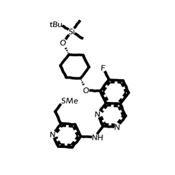 CSCc1cc(Nc2ncc3ccc(F)c(O[C@H]4CC[C@@H](O[Si](C)(C)C(C)(C)C)CC4)c3n2)ccn1